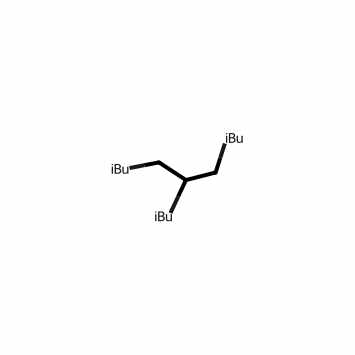 CCC(C)C[C](CC(C)CC)C(C)CC